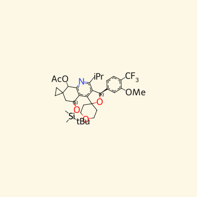 COc1cc([C@H]2OC3(CCOCC3)c3c2c(C(C)C)nc2c3[C@@H](O[Si](C)(C)C(C)(C)C)CC3(CC3)C2OC(C)=O)ccc1C(F)(F)F